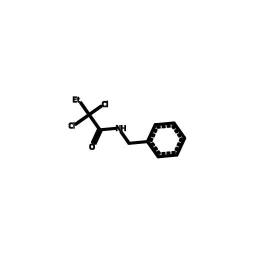 CCC(Cl)(Cl)C(=O)NCc1ccccc1